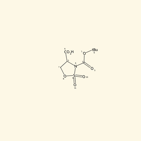 CC(C)(C)OC(=O)N1C(C(=O)O)COS1(=O)=O